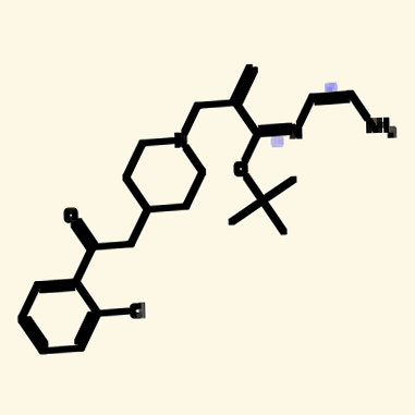 C=C(CN1CCC(CC(=O)c2ccccc2Cl)CC1)/C(=N\C=C/N)OC(C)(C)C